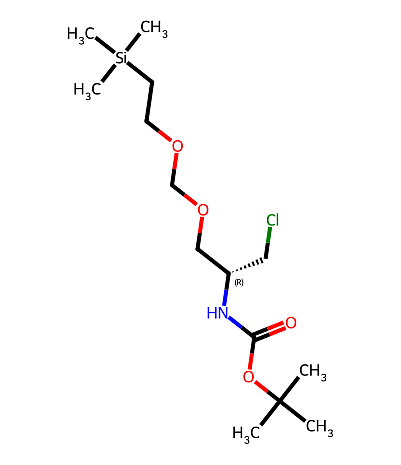 CC(C)(C)OC(=O)N[C@@H](CCl)COCOCC[Si](C)(C)C